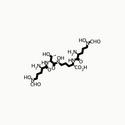 C[C@@H](O)[C@@H](NC(=O)[C@H](N)CCCN(O)C=O)C(=O)N(O)CCC[C@H](NC(=O)[C@H](N)CCCN(O)C=O)C(=O)O